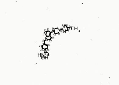 CCc1cnc(N2CCN(c3ccnc4c3ccn4Cc3ccc(C(=O)NO)cc3)CC2)nc1